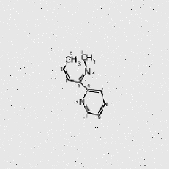 C/C=C\C(=N/C)c1ccccn1